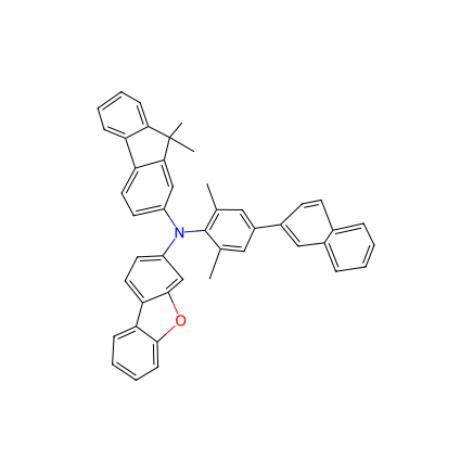 Cc1cc(-c2ccc3ccccc3c2)cc(C)c1N(c1ccc2c(c1)C(C)(C)c1ccccc1-2)c1ccc2c(c1)oc1ccccc12